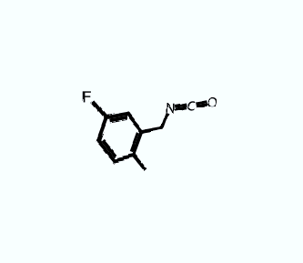 Cc1ccc(F)cc1CN=C=O